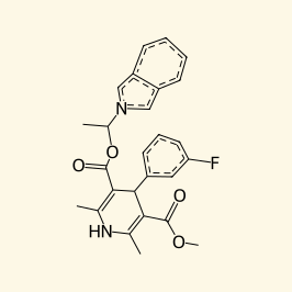 COC(=O)C1=C(C)NC(C)=C(C(=O)OC(C)n2cc3ccccc3c2)C1c1cccc(F)c1